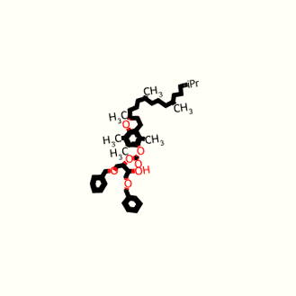 Cc1c(C)c2c(c(C)c1OC(=O)OC(COCc1ccccc1)C(O)COCc1ccccc1)CCC(C)(CCCC(C)CCCC(C)CCCC(C)C)O2